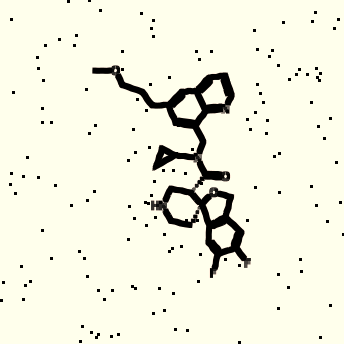 COCCCc1cc(CN(C(=O)[C@H]2CNCC[C@@]23OCc2cc(F)c(F)cc23)C2CC2)c2ncccc2c1